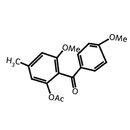 COc1ccc(C(=O)c2c(OC)cc(C)cc2OC(C)=O)cc1